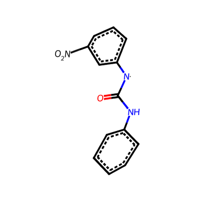 O=C([N]c1cccc([N+](=O)[O-])c1)Nc1ccccc1